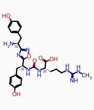 CNC(=N)NCCC[C@H](NC(=O)N[C@@H](Cc1ccc(O)cc1)c1nc([C@@H](N)Cc2ccc(O)cc2)no1)C(=O)O